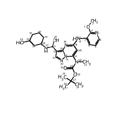 COc1ncccc1Nc1cc(N(C)C(=O)OC(C)(C)C)n2ncc(C(O)NC3CCCC(O)C3)c2n1